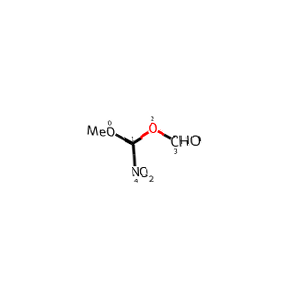 COC(OC=O)[N+](=O)[O-]